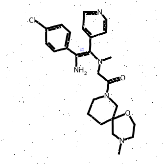 CN1CCOC2(CCCN(C(=O)CN(C)/C(=C(\N)c3ccc(Cl)cc3)c3ccncc3)C2)C1